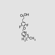 CC(C)Sc1nccc(COc2c(F)cc(CCC(=O)O)cc2F)n1